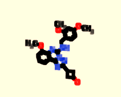 COc1ccc(CNc2nc3c(OC)cccc3c3nc(C4CC(=O)C4)nn23)c(OC)c1